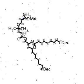 CCCCCCCCCCCCCCCCCCC(COC(=O)NCC(C)(C)OC/C=C(/C)OC)OC(=O)CCCCCCCCCCCCCCCCC